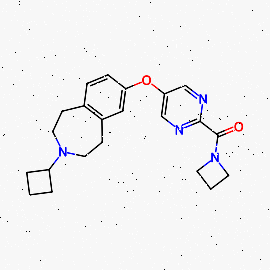 O=C(c1ncc(Oc2ccc3c(c2)CCN(C2CCC2)CC3)cn1)N1CCC1